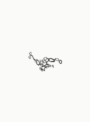 COC(CCN1CCC(Nc2ncnc3[nH]cc(C(=O)c4ccc(Oc5ccccc5)cc4Cl)c23)CC1)OC